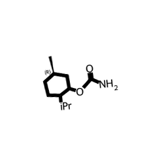 CC(C)C1CC[C@@H](C)CC1OC(N)=O